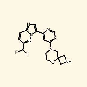 FC(F)c1ccc2ncc(-c3cc(N4CCOC5(CNC5)C4)ncn3)n2n1